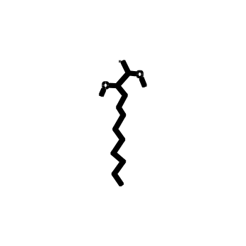 [CH2]C(OC)C(CCCCCCCCC)OC